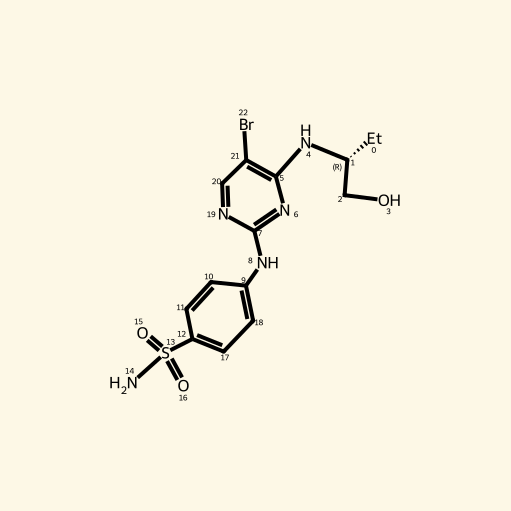 CC[C@H](CO)Nc1nc(Nc2ccc(S(N)(=O)=O)cc2)ncc1Br